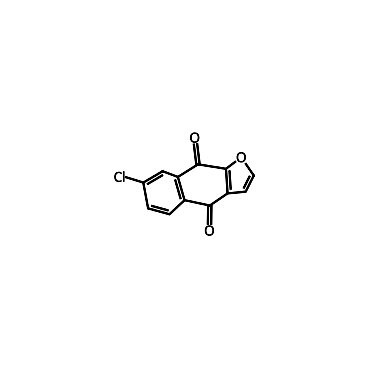 O=C1c2ccc(Cl)cc2C(=O)c2occc21